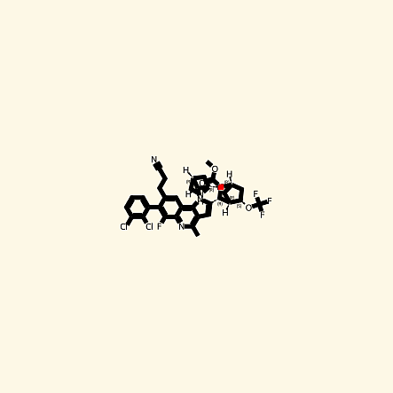 COC(=O)N1[C@@H]2C[C@@H]([C@@H](OC(F)(F)F)C2)[C@@H]1c1cc2c(C)nc3c(F)c(-c4cccc(Cl)c4Cl)c(CCC#N)cc3c2n1[C@H]1[C@H]2CN[C@@H]1C2